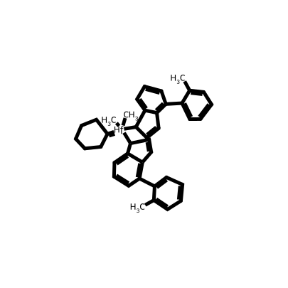 Cc1ccccc1-c1cccc2c1C=C[CH]2[Hf]([CH3])([CH3])(=[C]1CCCCC1)[CH]1C=Cc2c(-c3ccccc3C)cccc21